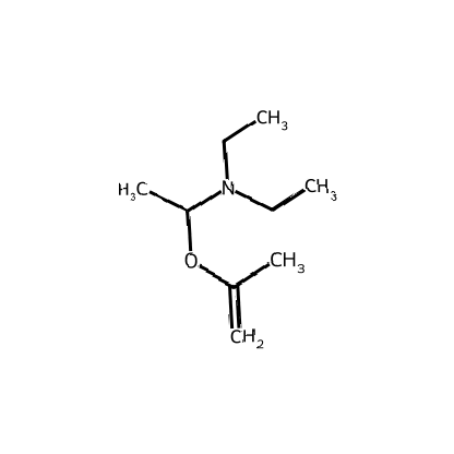 C=C(C)OC(C)N(CC)CC